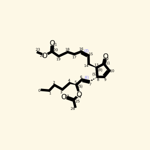 CCCCC[C@@H](/C=C/[C@H]1C=CC(=O)[C@@H]1C/C=C\CCCC(=O)OC)OC(C)=O